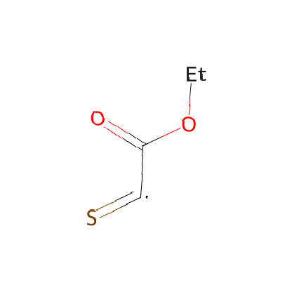 CCOC(=O)[C]=S